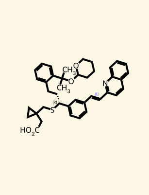 CC(C)(OC1CCCCO1)c1ccccc1CC[C@@H](SCC1(CC(=O)O)CC1)c1cccc(/C=C/c2ccc3ccccc3n2)c1